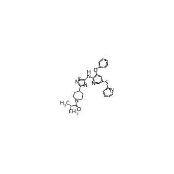 CC(C)C(=O)N1CCC(c2nsc(Nc3ncc(Sc4ccccn4)cc3Oc3ccccc3)n2)CC1